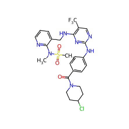 CN(c1ncccc1CNc1nc(Nc2ccc(C(=O)N3CCC(Cl)CC3)cc2)ncc1C(F)(F)F)S(C)(=O)=O